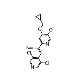 COc1cnc(/C(C#N)=C/c2c(Cl)cncc2Cl)cc1OCC1CC1